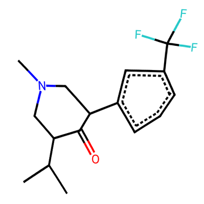 CC(C)C1CN(C)CC(c2cccc(C(F)(F)F)c2)C1=O